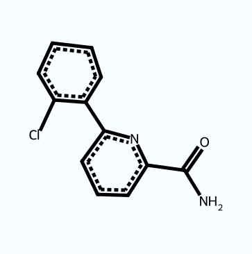 NC(=O)c1cccc(-c2ccccc2Cl)n1